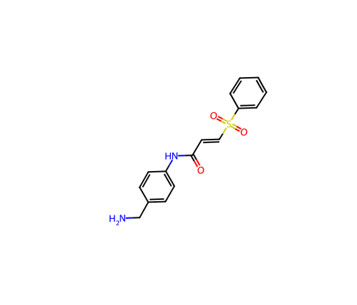 NCc1ccc(NC(=O)C=CS(=O)(=O)c2ccccc2)cc1